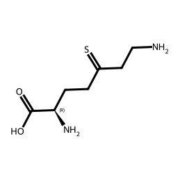 NCCC(=S)CC[C@@H](N)C(=O)O